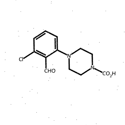 O=Cc1c(Cl)cccc1N1CCN(C(=O)O)CC1